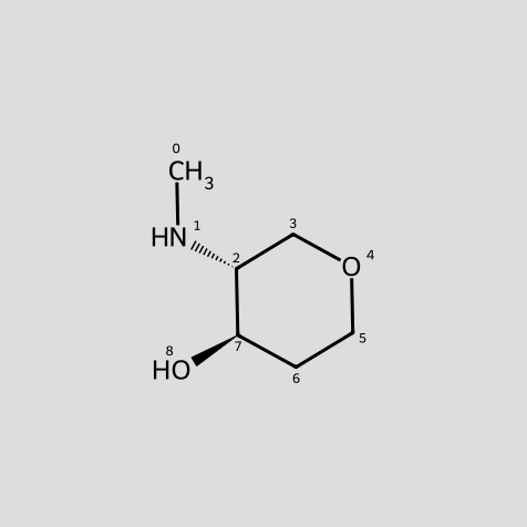 CN[C@@H]1COCC[C@H]1O